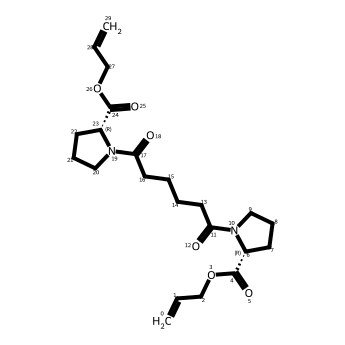 C=CCOC(=O)[C@H]1CCCN1C(=O)CCCCC(=O)N1CCC[C@@H]1C(=O)OCC=C